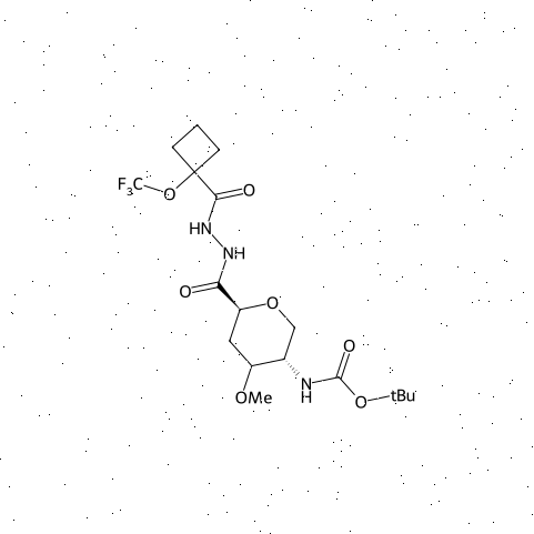 COC1C[C@@H](C(=O)NNC(=O)C2(OC(F)(F)F)CCC2)OC[C@@H]1NC(=O)OC(C)(C)C